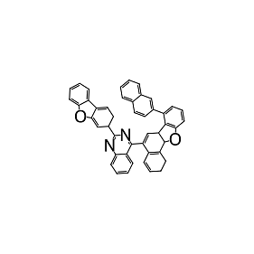 C1=CC2=C(CC1)C1Oc3cccc(-c4ccc5ccccc5c4)c3C1C=C2c1nc(C2C=c3oc4ccccc4c3=CC2)nc2ccccc12